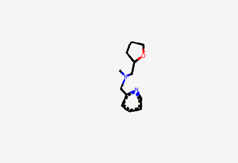 CN(Cc1ccccn1)CC1CCCO1